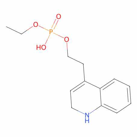 CCOP(=O)(O)OCCC1=CCNc2ccccc21